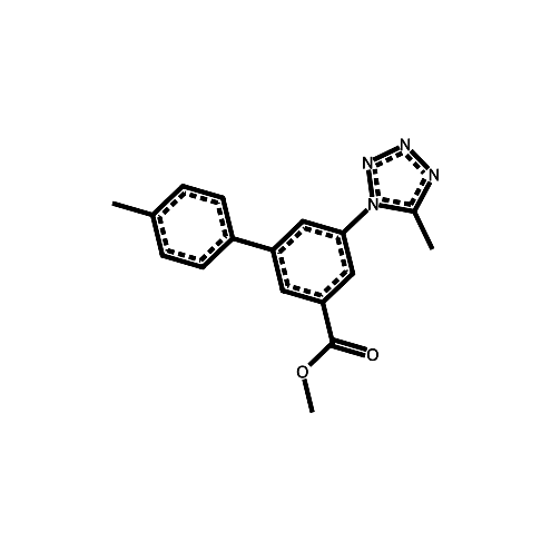 COC(=O)c1cc(-c2ccc(C)cc2)cc(-n2nnnc2C)c1